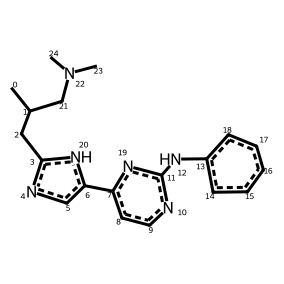 CC(Cc1ncc(-c2ccnc(Nc3ccccc3)n2)[nH]1)CN(C)C